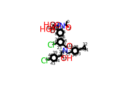 CC(=O)Nc1ccccc1[As](=O)(O)OO.O=C(c1cccc(Cl)c1)N(Cc1ccc(C2CC2)cc1)CC(O)c1ccc(Cl)cc1